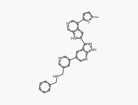 Cc1ccc(-c2cncc3[nH]c(-c4n[nH]c5ncc(-c6cncc(CNCc7ccccc7)c6)cc45)cc23)s1